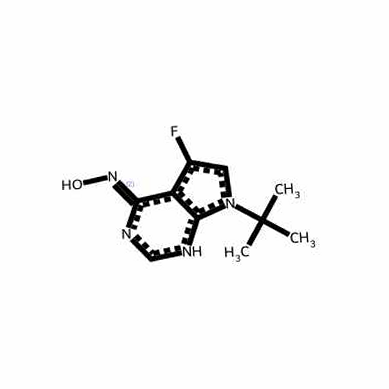 CC(C)(C)n1cc(F)c2/c(=N/O)nc[nH]c21